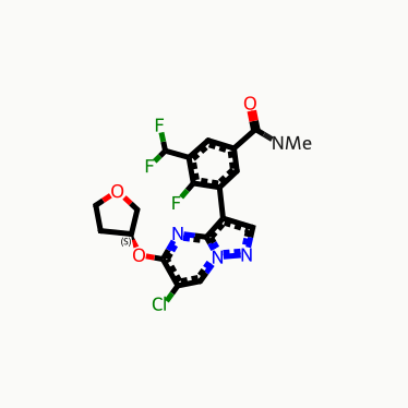 CNC(=O)c1cc(-c2cnn3cc(Cl)c(O[C@H]4CCOC4)nc23)c(F)c(C(F)F)c1